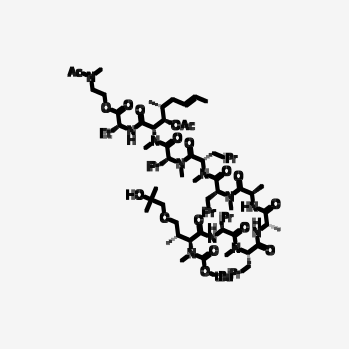 C/C=C/C[C@@H](C)[C@@H](OC(C)=O)[C@@H](C(=O)N[C@@H](CC)C(=O)OCCN(C)C(C)=O)N(C)C(=O)[C@H](C(C)C)N(C)C(=O)[C@H](CC(C)C)N(C)C(=O)[C@H](CC(C)C)N(C)C(=O)[C@@H](C)NC(=O)[C@H](C)NC(=O)[C@H](CC(C)C)N(C)C(=O)[C@@H](NC(=O)[C@H]([C@H](C)COCC(C)(C)O)N(C)C(=O)OC(C)(C)C)C(C)C